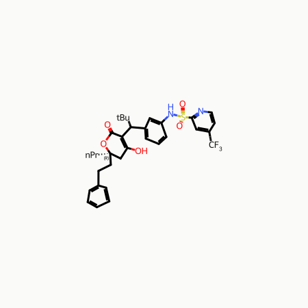 CCC[C@@]1(CCc2ccccc2)CC(O)=C(C(c2cccc(NS(=O)(=O)c3cc(C(F)(F)F)ccn3)c2)C(C)(C)C)C(=O)O1